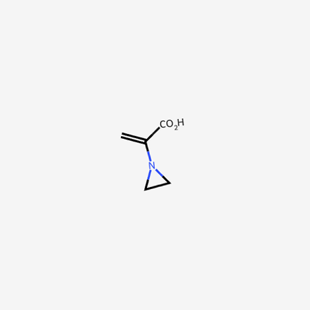 C=C(C(=O)O)N1CC1